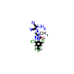 Cn1c(/C=N/C(C#N)=C(\N)C#N)nn(-c2c(Cl)cc(C(F)(F)F)cc2Cl)c1=O